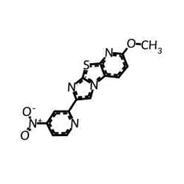 COc1ccc2c(n1)sc1nc(-c3cc([N+](=O)[O-])ccn3)cn12